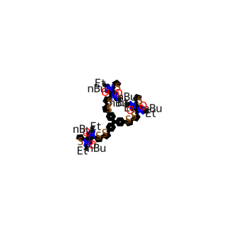 CCCCC(CC)CN1C(=O)C2=C(c3ccc(-c4ccc(-c5ccc(C(c6ccc(-c7ccc(-c8ccc(C9=C%10C(=O)N(CC(CC)CCCC)C(c%11cccs%11)=C%10C(=O)N9CC(CC)CCCC)s8)s7)cc6)c6ccc(-c7ccc(-c8ccc(C9=C%10C(=O)N(CC(CC)CCCC)C(c%11cccs%11)=C%10C(=O)N9CC(CC)CCCC)s8)s7)cc6)cc5)s4)s3)N(CC(CC)CCCC)C(=O)C2=C1c1cccs1